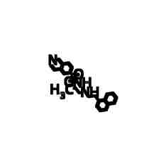 CC(CNCCc1cccc2ccccc12)NS(=O)(=O)c1ccc2cnccc2c1